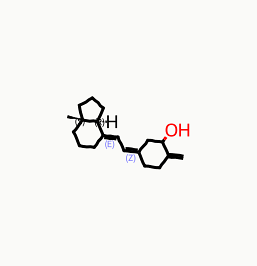 C=C1CC/C(=C/C=C2\CCC[C@]3(C)CCC[C@@H]23)CC1O